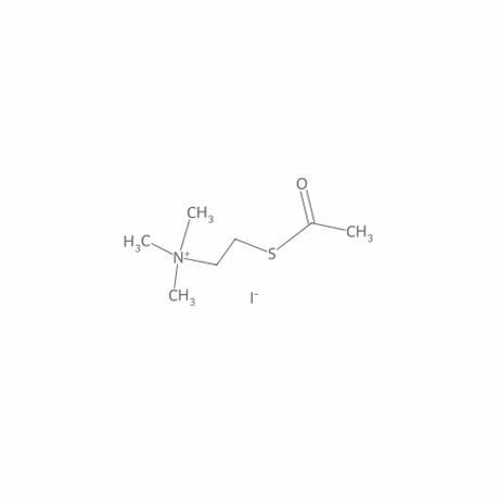 CC(=O)SCC[N+](C)(C)C.[I-]